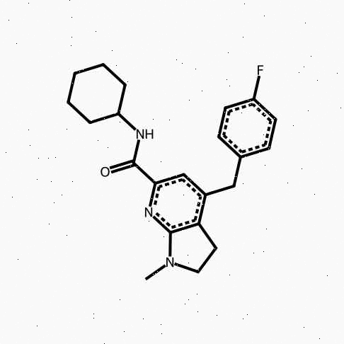 CN1CCc2c(Cc3ccc(F)cc3)cc(C(=O)NC3CCCCC3)nc21